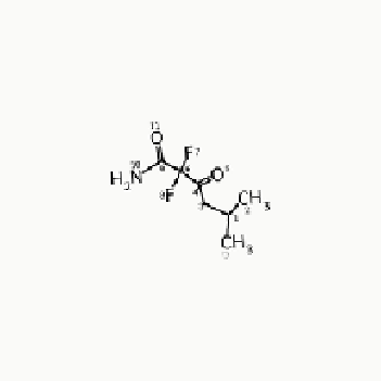 CC(C)CC(=O)C(F)(F)C(N)=O